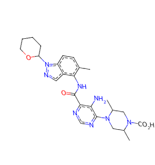 Cc1ccc2c(cnn2C2CCCCO2)c1NC(=O)c1ncnc(N2CC(C)N(C(=O)O)CC2C)c1N